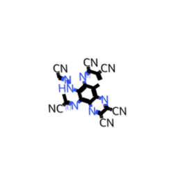 C=C(C#N)/C(C#N)=N\c1c(NN=CC#N)c(/N=C(\C)C#N)c2nc(C#N)c(C#N)nc2c1C